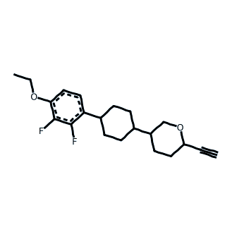 C#CC1CCC(C2CCC(c3ccc(OCC)c(F)c3F)CC2)CO1